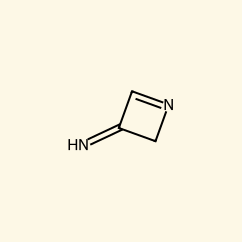 N=C1C=NC1